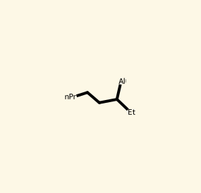 CCCCC[CH]([Al])CC